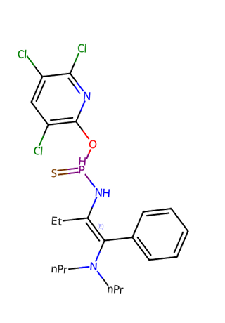 CCCN(CCC)/C(=C(\CC)N[PH](=S)Oc1nc(Cl)c(Cl)cc1Cl)c1ccccc1